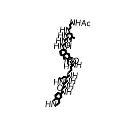 CC(=O)NCCNC1CC(C)NC(NC(=O)Nc2ccc3c(c2)CC(CS(=O)(=O)NCCCNC2CC(C)NC(NC(=O)Nc4ccc5c(c4)CCNC5)N2)NC3)N1